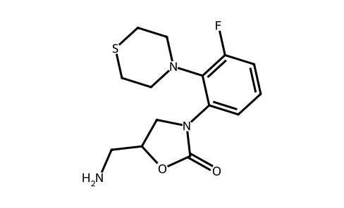 NCC1CN(c2cccc(F)c2N2CCSCC2)C(=O)O1